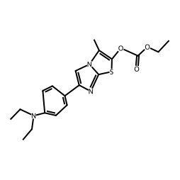 CCOC(=O)Oc1sc2nc(-c3ccc(N(CC)CC)cc3)cn2c1C